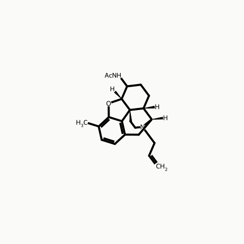 C=CCN1CC[C@@]23c4c5ccc(C)c4O[C@@H]2C(NC(C)=O)CC[C@@H]3[C@@H]1C5